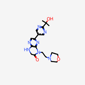 CC(C)(O)c1ncc(-c2cnc3c(n2)N(CCN2CCOCC2)C(=O)CN3)cn1